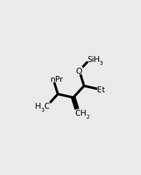 C=C(C(C)CCC)C(CC)O[SiH3]